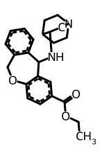 CCOC(=O)c1ccc2c(c1)C(NC1CN3CCC1CC3)c1ccccc1CO2